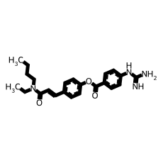 CCCCN(CC)C(=O)C=Cc1ccc(OC(=O)c2ccc(NC(=N)N)cc2)cc1